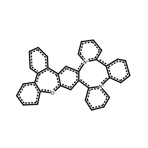 c1ccc2c(c1)oc1cc3c4cccc[n+]4c4ccccc4c4cccc[n+]4c3cc1c1ccccc21